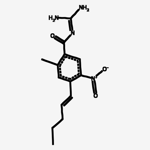 CCCC=Cc1cc(C)c(C(=O)N=C(N)N)cc1[N+](=O)[O-]